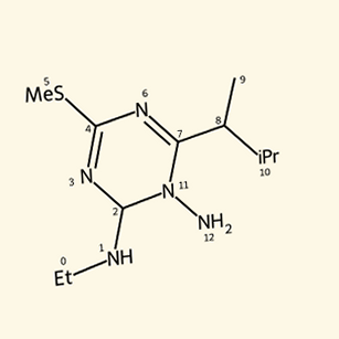 CCNC1N=C(SC)N=C(C(C)C(C)C)N1N